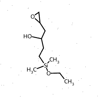 CCO[Si](C)(C)CCC(O)CC1CO1